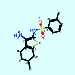 Cc1cccc(S(=O)(=O)Nc2sc3c(c2N)CCC(C)C3)c1